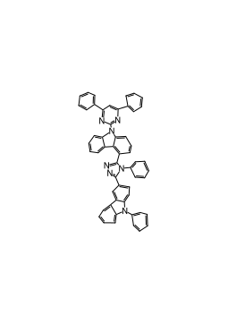 c1ccc(-c2cc(-c3ccccc3)nc(-n3c4ccccc4c4c(-c5nnc(-c6ccc7c(c6)c6ccccc6n7-c6ccccc6)n5-c5ccccc5)cccc43)n2)cc1